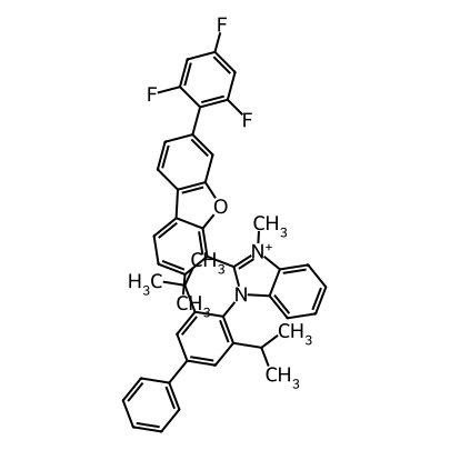 Cc1ccc2c(oc3cc(-c4c(F)cc(F)cc4F)ccc32)c1-c1n(-c2c(C(C)C)cc(-c3ccccc3)cc2C(C)C)c2ccccc2[n+]1C